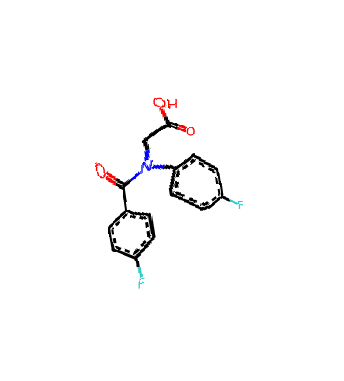 O=C(O)CN(C(=O)c1ccc(F)cc1)c1ccc(F)cc1